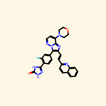 O=c1[nH]nc(-c2ccc(-c3c(C=Cc4ccc5ccccc5n4)nc4c(N5CCOCC5)ccnn34)cc2F)[nH]1